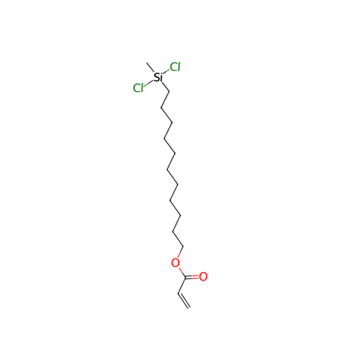 C=CC(=O)OCCCCCCCCCCC[Si](C)(Cl)Cl